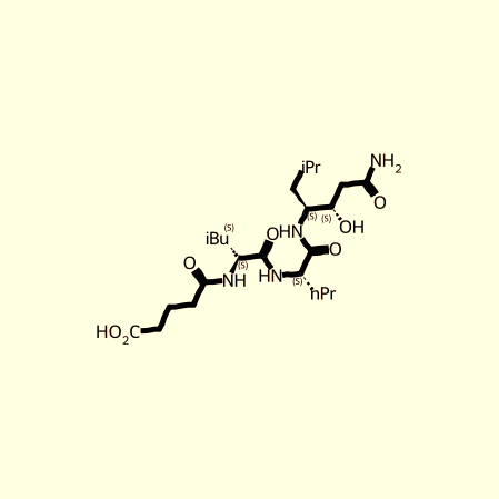 CCC[C@H](NC(=O)[C@@H](NC(=O)CCCC(=O)O)[C@@H](C)CC)C(=O)N[C@@H](CC(C)C)[C@@H](O)CC(N)=O